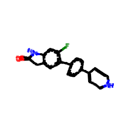 O=C1Cc2cc(-c3ccc(C4=CCNC=C4)cc3)c(F)cc2N1